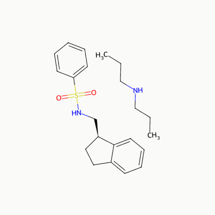 CCCNCCC.O=S(=O)(NC[C@@H]1CCc2ccccc21)c1ccccc1